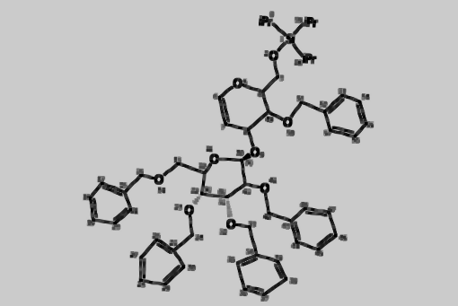 CC(C)[Si](OCC1OC=CC(O[C@@H]2OC(COCc3ccccc3)[C@@H](OCc3ccccc3)[C@@H](OCc3ccccc3)C2OCc2ccccc2)C1OCc1ccccc1)(C(C)C)C(C)C